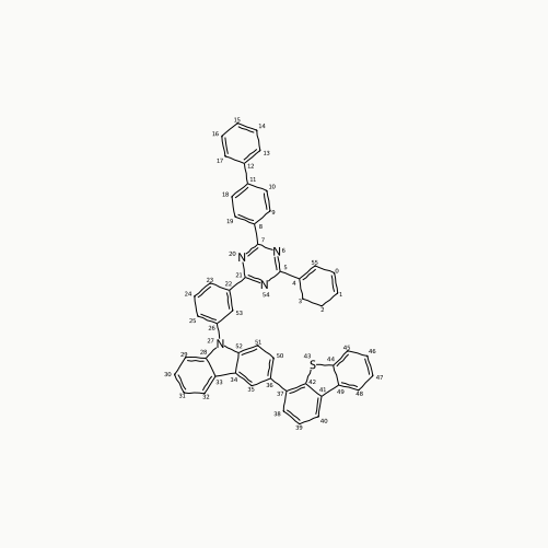 C1=CCCC(c2nc(-c3ccc(-c4ccccc4)cc3)nc(-c3cccc(-n4c5ccccc5c5cc(-c6cccc7c6sc6ccccc67)ccc54)c3)n2)=C1